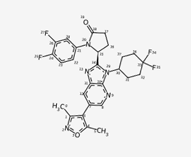 Cc1noc(C)c1-c1cnc2c(c1)nc([C@@H]1CCC(=O)N1c1ccc(F)c(F)c1)n2C1CCC(F)(F)CC1